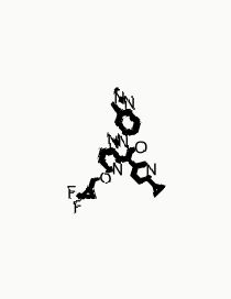 Cn1cc2cc(-n3nc4ccc(OCC5CC5(F)F)nc4c(-c4ccc(C5CC5)nc4)c3=O)ccc2n1